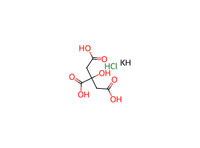 Cl.O=C(O)CC(O)(CC(=O)O)C(=O)O.[KH]